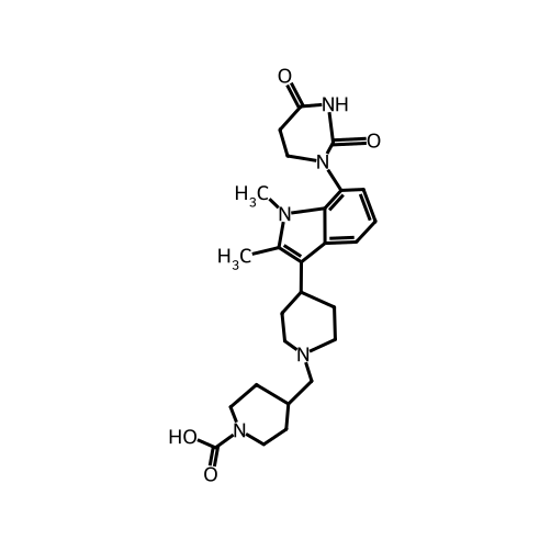 Cc1c(C2CCN(CC3CCN(C(=O)O)CC3)CC2)c2cccc(N3CCC(=O)NC3=O)c2n1C